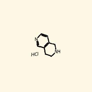 Cl.c1cc2c(cn1)CCNC2